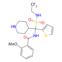 COc1ccccc1C(=O)NC(c1cccs1)(C1CCNCC1)S(=O)(=O)NCC(F)(F)F